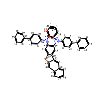 C1=CCC(N(c2ccc(-c3ccccc3)cc2)c2cc3c(cc2N(c2ccccc2)c2ccc(-c4ccccc4)cc2)sc2cc4ccccc4cc23)C=C1